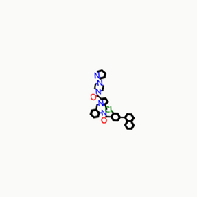 O=C(c1ccc2n1Cc1ccccc1N(C(=O)c1ccc(-c3cccc4ccccc34)cc1Cl)C2)N1CCN(c2ccccn2)CC1